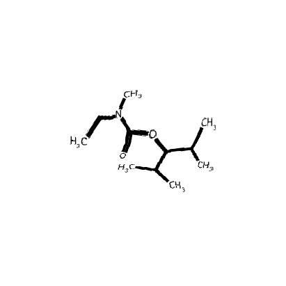 CCN(C)C(=O)OC(C(C)C)C(C)C